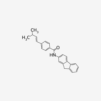 CC(C)C=Cc1ccc(C(=O)Nc2ccc3c(c2)Cc2ccccc2-3)cc1